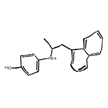 CC(Cc1cccc2ccccc12)Nc1ccc(O)cc1